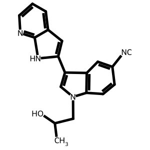 [C-]#[N+]c1ccc2c(c1)c(-c1cc3cccnc3[nH]1)cn2CC(C)O